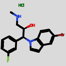 CNC[C@@H](O)[C@H](c1cccc(F)c1)n1ccc2cc(Br)ccc21.Cl